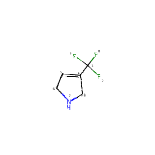 FC(F)(F)C1=CCN[C]1